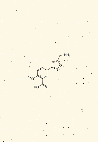 COc1ccc(-c2cc(CN)on2)cc1C(=O)O